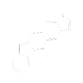 Cc1[nH]cnc1C=C1CCc2c(C)c3ccccc3n2C1=O